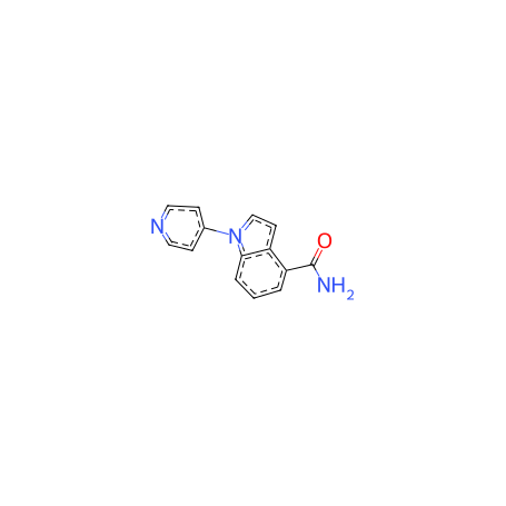 NC(=O)c1cccc2c1ccn2-c1ccncc1